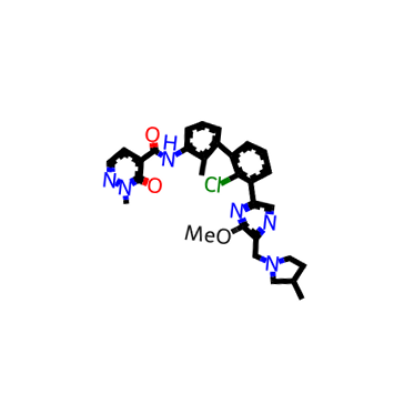 COc1nc(-c2cccc(-c3cccc(NC(=O)c4ccnn(C)c4=O)c3C)c2Cl)cnc1CN1CCC(C)C1